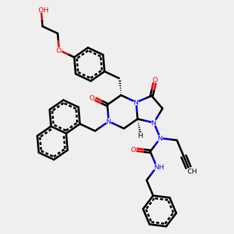 C#CCN(C(=O)NCc1ccccc1)N1CC(=O)N2[C@@H](Cc3ccc(OCCO)cc3)C(=O)N(Cc3cccc4ccccc34)C[C@@H]21